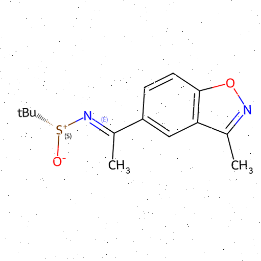 C/C(=N\[S@+]([O-])C(C)(C)C)c1ccc2onc(C)c2c1